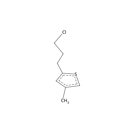 Cc1csc(CCCCl)c1